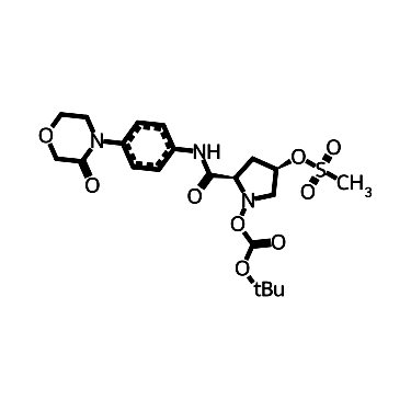 CC(C)(C)OC(=O)ON1C[C@H](OS(C)(=O)=O)C[C@@H]1C(=O)Nc1ccc(N2CCOCC2=O)cc1